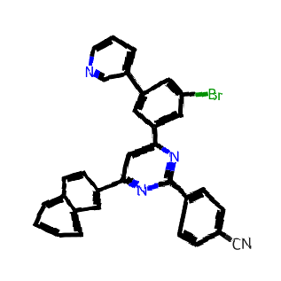 N#Cc1ccc(-c2nc(-c3cc(Br)cc(-c4cccnc4)c3)cc(-c3ccc4ccccc4c3)n2)cc1